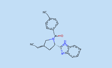 N#CC=C1C[C@@H](c2nc3ccccc3[nH]2)N(C(=O)c2ccc(C#N)cc2)C1